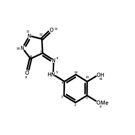 COc1ccc(NN=c2c(=O)nnc2=O)cc1O